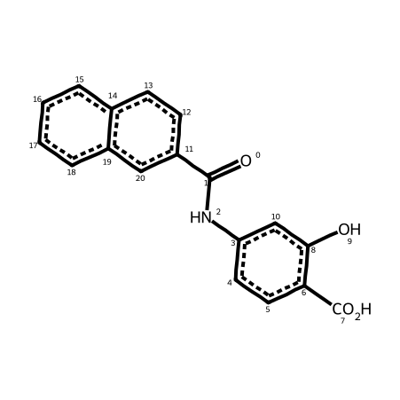 O=C(Nc1ccc(C(=O)O)c(O)c1)c1ccc2ccccc2c1